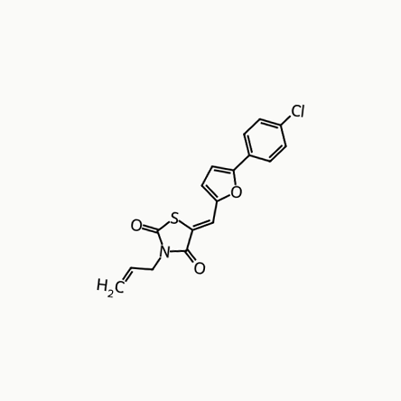 C=CCN1C(=O)S/C(=C\c2ccc(-c3ccc(Cl)cc3)o2)C1=O